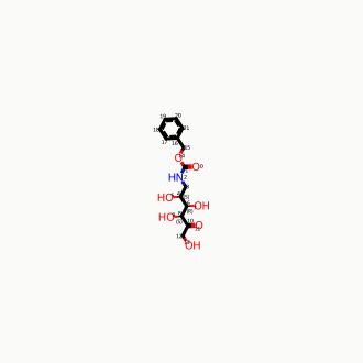 O=C(NC[C@H](O)[C@@H](O)[C@H](O)C(=O)CO)OCc1ccccc1